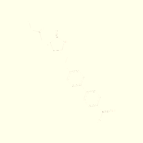 COC(=O)C[C@H]1C[C@@H](COc2ccc(-c3ccc(C(=N)N)cc3)cc2)NC1=O.Cl